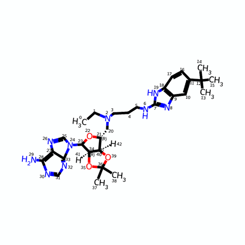 CCN(CCCNc1nc2cc(C(C)(C)C)ccc2[nH]1)C[C@H]1OC(n2cnc3c(N)ncnc32)[C@@H]2OC(C)(C)O[C@H]12